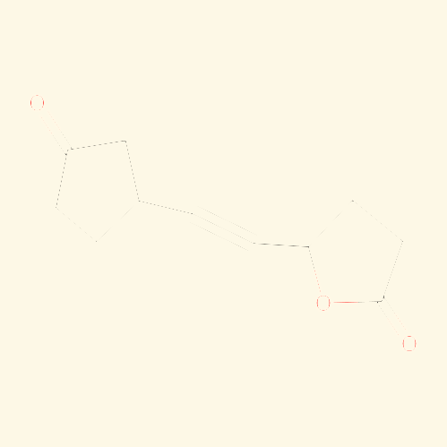 O=C1CCC(C#CC2CCC(=O)O2)C1